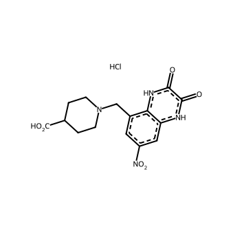 Cl.O=C(O)C1CCN(Cc2cc([N+](=O)[O-])cc3[nH]c(=O)c(=O)[nH]c23)CC1